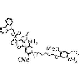 C=C1CC(C2OCCN2C(=O)OCC2c3ccccc3-c3ccccc32)N(C(=O)c2cc(OC)c(OCCCCCOc3cc(N)c(C(=O)O)cc3OC)cc2N)C1